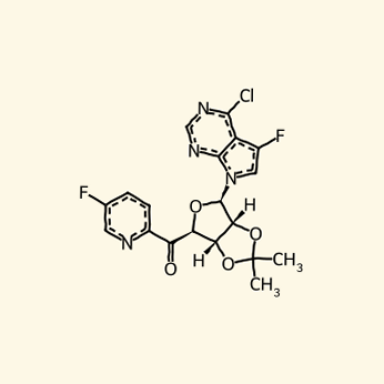 CC1(C)O[C@@H]2[C@H](O1)[C@@H](C(=O)c1ccc(F)cn1)O[C@H]2n1cc(F)c2c(Cl)ncnc21